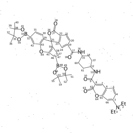 CCN(CC)c1ccc2cc(C(=O)NC3CCC(NC(=O)c4ccc5c(c4)C4(OC5=O)c5ccc(B6OC(C)(C)C(C)(C)O6)cc5Oc5cc(B6OC(C)(C)C(C)(C)O6)ccc54)CC3)c(=O)oc2c1